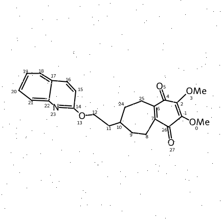 COC1=C(OC)C(=O)C2=C(CCC(CCOc3ccc4ccccc4n3)CC2)C1=O